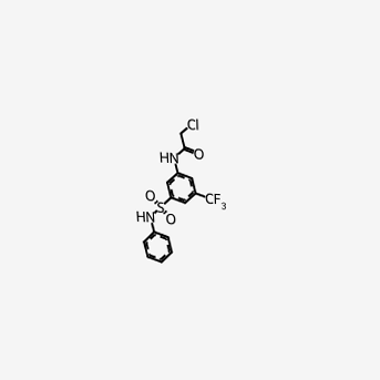 O=C(CCl)Nc1cc(C(F)(F)F)cc(S(=O)(=O)Nc2ccccc2)c1